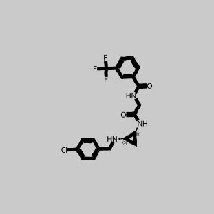 O=C(CNC(=O)c1cccc(C(F)(F)F)c1)N[C@@H]1C[C@@H]1NCc1ccc(Cl)cc1